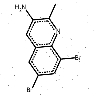 Cc1nc2c(Br)cc(Br)cc2cc1N